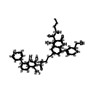 CCCNC(=O)c1c(N)c2cc(CCCNC(=O)c3c(N)c4cccc(-c5ccncc5)c4[nH]c3=O)cc(-c3ccnc(CO)c3)c2[nH]c1=O